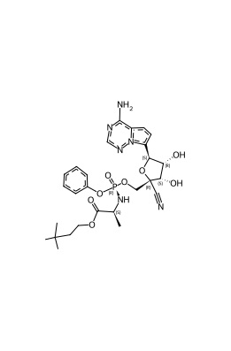 C[C@H](N[P@@](=O)(OC[C@@]1(C#N)O[C@@H](c2ccc3c(N)ncnn23)[C@H](O)[C@@H]1O)Oc1ccccc1)C(=O)OCCC(C)(C)C